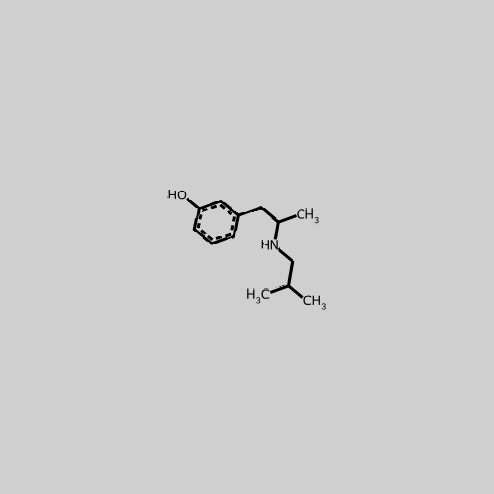 CC(C)CNC(C)Cc1cccc(O)c1